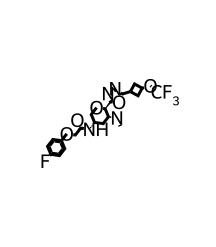 C=N[C@@H]1C[C@H](NC(=O)COc2ccc(F)cc2)CO[C@H]1c1nnc(C2CC(OC(F)(F)F)C2)o1